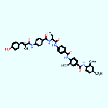 COc1cc(C(=O)O)ccc1NC(=O)c1ccc(NC(=O)c2ccc(NC(=O)[C@H](CC#N)NC(=O)c3ccc(NC(=O)/C(C)=C/c4ccc(O)cc4)cc3)cc2)c(OC)c1